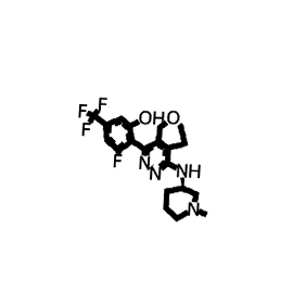 CN1CCC[C@@H](Nc2nnc(-c3c(O)cc(C(F)(F)F)cc3F)c3c2CCOC3)C1